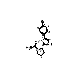 BC(=O)N1CCC[C@H]1c1nc(-c2ccc(Br)cc2)c[nH]1